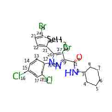 O=C(NC1CCCCC1)c1nn(-c2ccc(Cl)cc2Cl)c(C2=CC=C(Br)[SeH2]2)c1Br